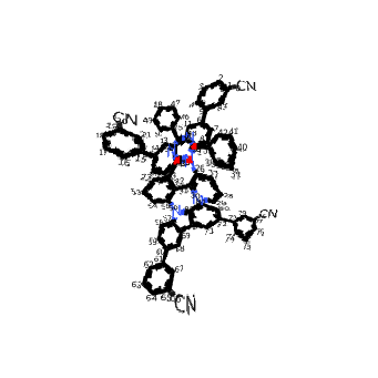 N#Cc1cccc(-c2ccc3c(c2)c2cc(-c4cccc(C#N)c4)ccc2n3-c2cccnc2-c2c(-c3nc(-c4ccccc4)nc(-c4ccccc4)n3)cccc2-n2c3ccc(-c4cccc(C#N)c4)cc3c3cc(-c4cccc(C#N)c4)ccc32)c1